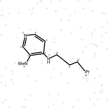 CNc1cnccc1NCCCC(C)C